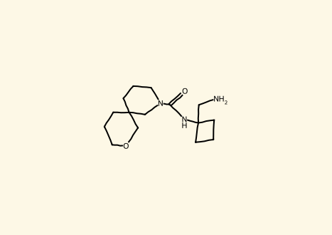 NCC1(NC(=O)N2CCCC3(CCCOC3)C2)CCC1